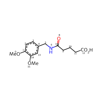 COc1ccc(CNC(=O)CCCC(=O)O)cc1OC